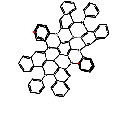 c1ccc(N2c3cc4ccccc4c4c3B3c5c2c2c6c(c5N(c5ccccc5)c5cc7ccccc7c(c53)N4c3ccccc3)N(c3ccccc3)c3cc4ccccc4c4c3B6c3c(cc5ccccc5c3N4c3ccccc3)N2c2ccccc2)cc1